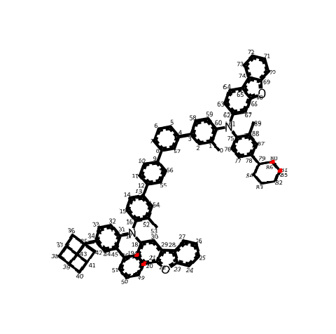 Cc1cc(-c2cccc(-c3ccc(-c4ccc(N(c5ccc6oc7ccccc7c6c5)c5ccc(C67CC8CC9CC(C6)C987)cc5-c5ccccc5)c(C)c4)cc3)c2)ccc1N(c1ccc2c(c1)oc1ccccc12)c1ccc(C23CCC(CC2)CC3)cc1C